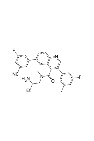 CCC(N)CN(C)C(=O)c1c(-c2cc(C)cc(F)c2)cnc2ccc(-c3cc(F)cc(C#N)c3)cc12